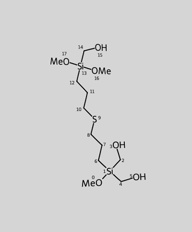 CO[Si](CO)(CO)CCCSCCC[Si](CO)(OC)OC